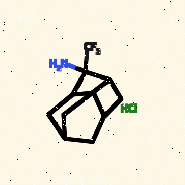 Cl.NC1(C(F)(F)F)C2CC3CC(C2)CC1C3